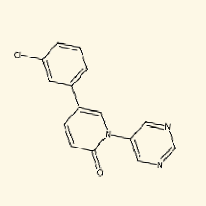 O=c1ccc(-c2cccc(Cl)c2)cn1-c1cncnc1